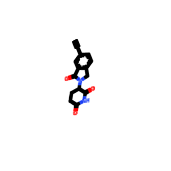 C#Cc1ccc2c(c1)C(=O)N(C1CCC(=O)NC1=O)C2